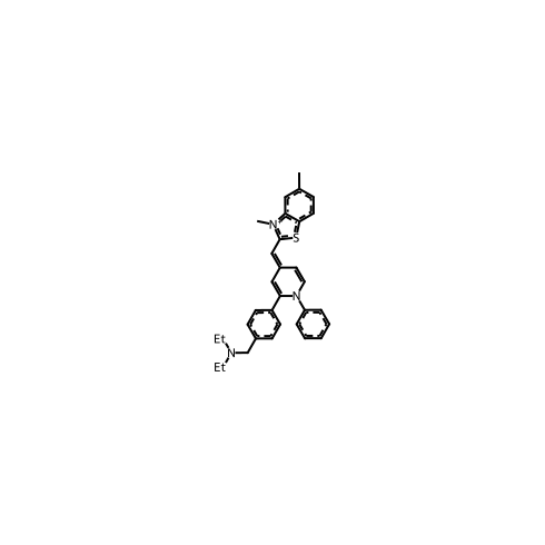 CCN(CC)Cc1ccc(C2=C/C(=C/c3sc4ccc(C)cc4[n+]3C)C=CN2c2ccccc2)cc1